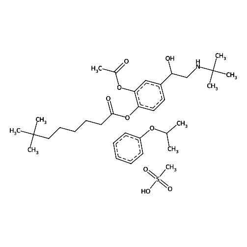 CC(=O)Oc1cc(C(O)CNC(C)(C)C)ccc1OC(=O)CCCCCC(C)(C)C.CC(C)Oc1ccccc1.CS(=O)(=O)O